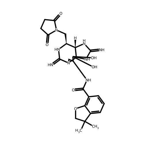 CC1(C)COc2c(C(=O)NC3CN4C(=N)N[C@@H](CN5C(=O)CCC5=O)[C@@H]5NC(=N)NC54C3(O)O)cccc21